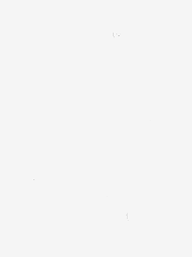 Clc1cc(I)c2oc3ccc(Br)cc3c2c1